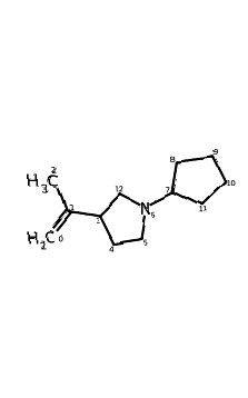 C=C(C)C1CCN(C2CCCC2)C1